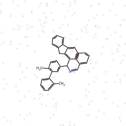 Cc1ccccc1-c1cc(C(/N=C\c2ccccc2)c2cccc3c2Cc2ccccc2-3)ccc1C